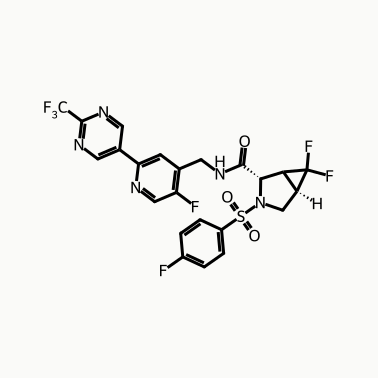 O=C(NCc1cc(-c2cnc(C(F)(F)F)nc2)ncc1F)[C@@H]1C2[C@H](CN1S(=O)(=O)c1ccc(F)cc1)C2(F)F